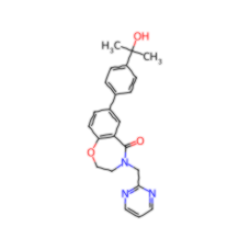 CC(C)(O)c1ccc(-c2ccc3c(c2)C(=O)N(Cc2ncccn2)CCO3)cc1